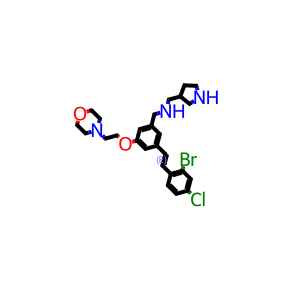 Clc1ccc(/C=C/c2cc(CNCC3CCNC3)cc(OCCN3CCOCC3)c2)c(Br)c1